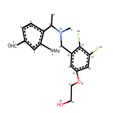 CNc1cc(C=O)ccc1C(C)N(C)Cc1cc(OCCO)cc(F)c1F